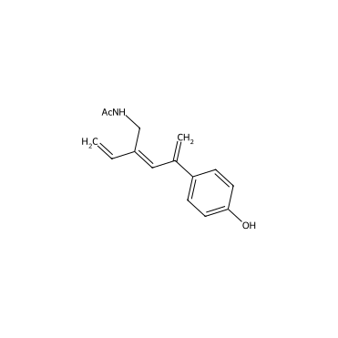 C=CC(=CC(=C)c1ccc(O)cc1)CNC(C)=O